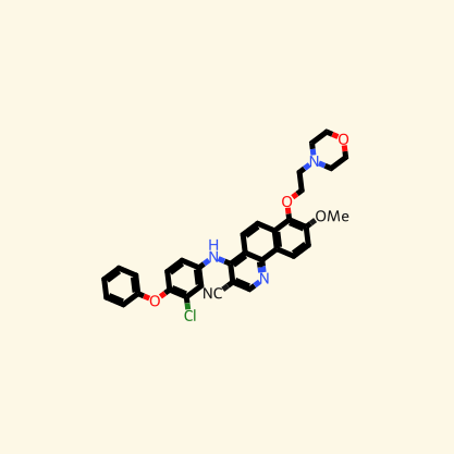 COc1ccc2c(ccc3c(Nc4ccc(Oc5ccccc5)c(Cl)c4)c(C#N)cnc32)c1OCCN1CCOCC1